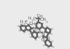 CC(C)(C)c1cc2c3c(c1)-n1c4c(c5cccc(c51)B3n1c3oc5ccccc5c3c3cccc-2c31)-c1ccccc1C4(C)C